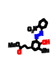 COC(=O)CCc1cc(/N=N/c2ccccc2[N+](=O)[O-])c(O)c(C(C)(C)C)c1